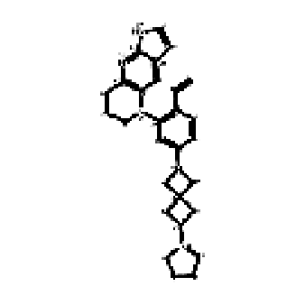 C=Cc1ccc(N2CC3(CC(N4CCCC4)C3)C2)cc1N1CCCc2nc3[nH]ccc3cc21